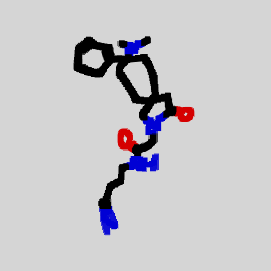 CN(C)C1(c2ccccc2)CCC2(CC1)CC(=O)N(CC(=O)NCCCC#N)C2